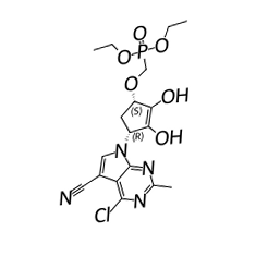 CCOP(=O)(CO[C@H]1C[C@@H](n2cc(C#N)c3c(Cl)nc(C)nc32)C(O)=C1O)OCC